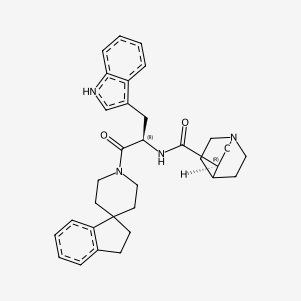 O=C(N[C@H](Cc1c[nH]c2ccccc12)C(=O)N1CCC2(CCc3ccccc32)CC1)[C@H]1CN2CCC1CC2